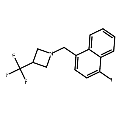 FC(F)(F)C1CN(Cc2ccc(I)c3ccccc23)C1